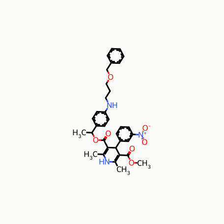 COC(=O)C1=C(C)NC(C)=C(C(=O)OC(C)c2ccc(NCCCOCc3ccccc3)cc2)C1c1cccc([N+](=O)[O-])c1